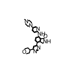 CN1CCN(c2ccc(Nc3ccc(-c4cc(C5CCOCC5)ncn4)c4c3C(=O)NC4)nc2)CC1